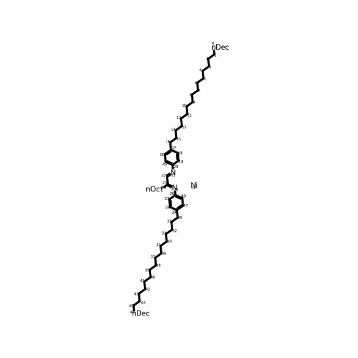 CCCCCCCCCCCCCCCCCCCCCCCCCCc1ccc(N=CC(CCCCCCCC)=Nc2ccc(CCCCCCCCCCCCCCCCCCCCCCCCCC)cc2)cc1.[Ni]